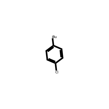 [CH2]C(CC)c1ccc(Cl)cc1